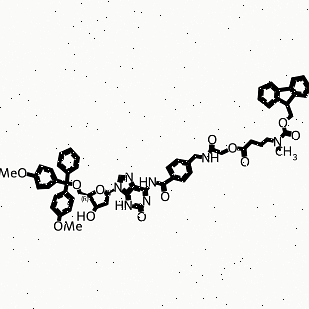 COc1ccc(C(OC[C@H]2O[C@@H](n3cnc4c(NC(=O)c5ccc(CNC(=O)COC(=O)CCCN(C)C(=O)OCC6c7ccccc7-c7ccccc76)cc5)nc(=O)[nH]c43)CC2O)(c2ccccc2)c2ccc(OC)cc2)cc1